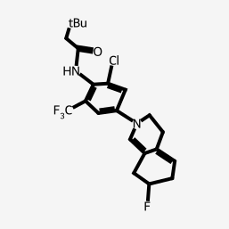 CC(C)(C)CC(=O)Nc1c(Cl)cc(N2C=C3CC(F)CC=C3CC2)cc1C(F)(F)F